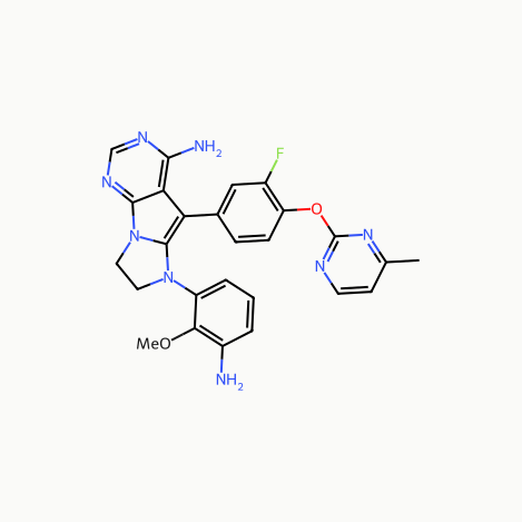 COc1c(N)cccc1N1CCn2c1c(-c1ccc(Oc3nccc(C)n3)c(F)c1)c1c(N)ncnc12